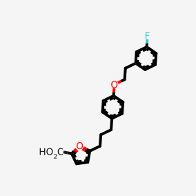 O=C(O)c1ccc(CCCc2ccc(OCCc3cccc(F)c3)cc2)o1